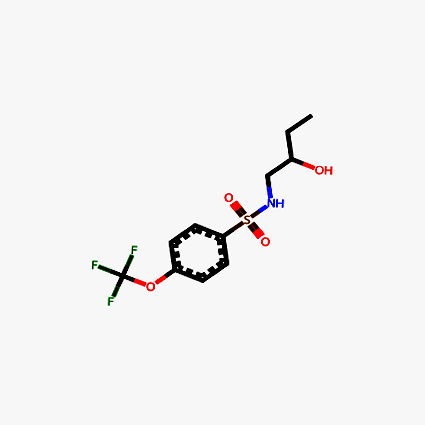 CCC(O)CNS(=O)(=O)c1ccc(OC(F)(F)F)cc1